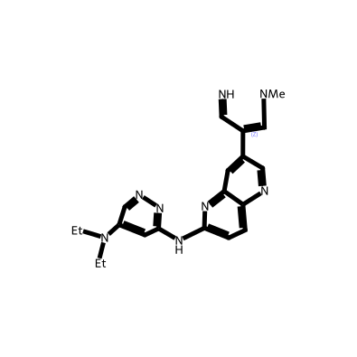 CCN(CC)c1cnnc(Nc2ccc3ncc(/C(C=N)=C/NC)cc3n2)c1